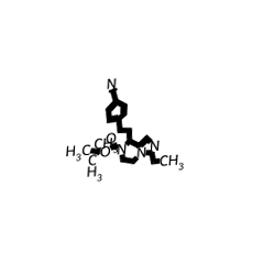 CCc1ncc2n1CCN(C(=O)OC(C)(C)C)C2CCc1ccc(C#N)cc1